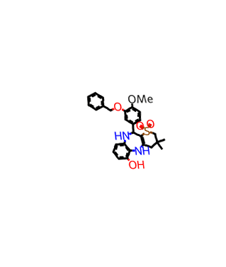 COc1ccc(C2Nc3cccc(O)c3NC3=C2S(=O)(=O)CC(C)(C)C3)cc1OCc1ccccc1